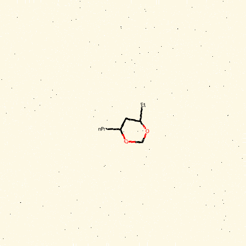 CCCC1CC(CC)OCO1